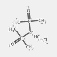 C[P](C)(=O)[Zr][P](C)(C)=O.Cl.Cl